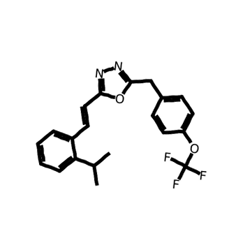 CC(C)c1ccccc1/C=C/c1nnc(Cc2ccc(OC(F)(F)F)cc2)o1